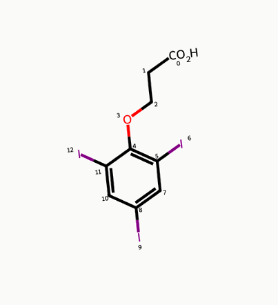 O=C(O)CCOc1c(I)cc(I)cc1I